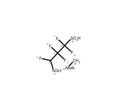 CCCCCCCCC(F)C(F)(F)C(F)(F)S(=O)(=O)O.CNC